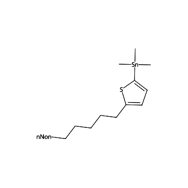 CCCCCCCCCCCCCCc1cc[c]([Sn]([CH3])([CH3])[CH3])s1